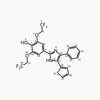 Oc1c(OCC(F)(F)F)cc(-c2nc(-c3ccccc3)c(-c3cccs3)[nH]2)cc1OCC(F)(F)F